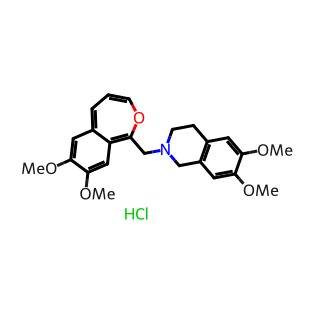 COc1cc2c(cc1OC)CN(CC1=c3cc(OC)c(OC)cc3=CC=CO1)CC2.Cl